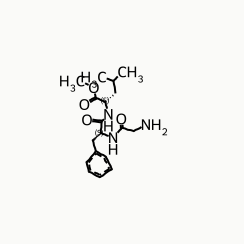 COC(=O)[C@H](CC(C)C)NC(=O)[C@H](Cc1ccccc1)NC(=O)CN